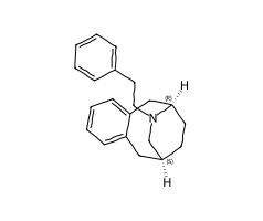 c1ccc(CCN2C[C@H]3CC[C@@H]2Cc2ccccc2C3)cc1